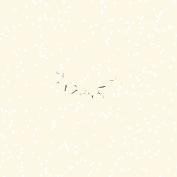 CC(C)Cc1cc(C(=O)NC(C)c2ccc(C(=O)NO)cc2)no1